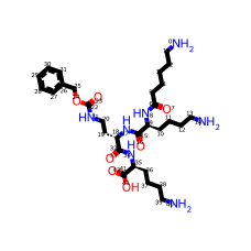 NCCCCCC(=O)N[C@@H](CCCCN)C(=O)N[C@@H](CCNC(=O)OCc1ccccc1)C(=O)N[C@@H](CCCCN)C(=O)O